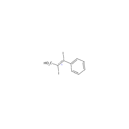 O=C(O)/C(I)=C(\I)c1ccccc1